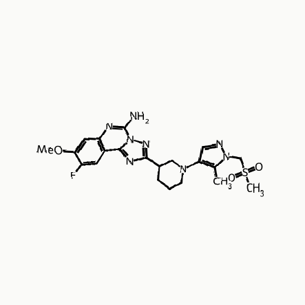 COc1cc2nc(N)n3nc(C4CCCN(c5cnn(CS(C)(=O)=O)c5C)C4)nc3c2cc1F